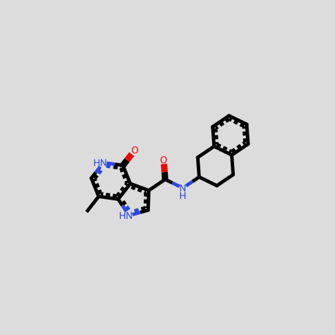 Cc1c[nH]c(=O)c2c(C(=O)NC3CCc4ccccc4C3)c[nH]c12